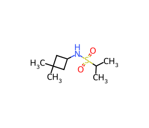 CC(C)S(=O)(=O)NC1CC(C)(C)C1